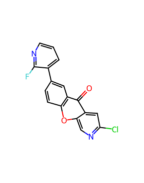 O=c1c2cc(-c3cccnc3F)ccc2oc2cnc(Cl)cc12